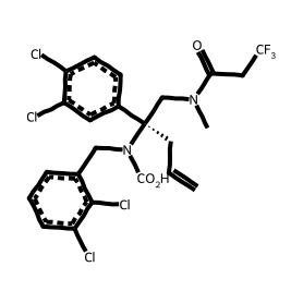 C=CC[C@@](CN(C)C(=O)CC(F)(F)F)(c1ccc(Cl)c(Cl)c1)N(Cc1cccc(Cl)c1Cl)C(=O)O